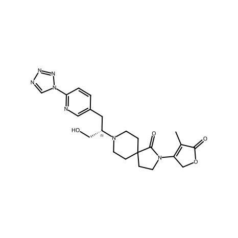 CC1=C(N2CCC3(CCN([C@H](CO)Cc4ccc(-n5cnnn5)nc4)CC3)C2=O)COC1=O